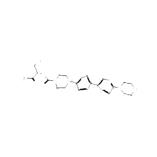 C[C@H](O)[C@@H](NC(=O)N1CCN(c2ccc(-c3ccc(N4CCNCC4)nc3)cc2)CC1)C(=O)NO